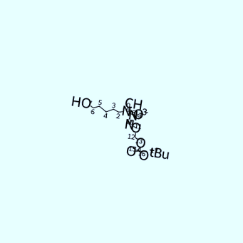 CN(CCCCCO)[N+]([O-])=NOCOC(=O)OC(C)(C)C